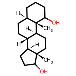 C[C@]12C(O)CCC[C@@H]1CC[C@@H]1[C@@H]2CC[C@]2(C)C(O)CC[C@@H]12